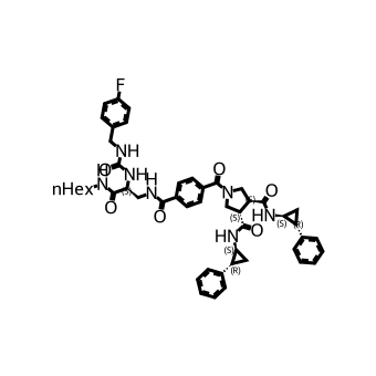 CCCCCCNC(=O)[C@H](CNC(=O)c1ccc(C(=O)N2C[C@@H](C(=O)N[C@H]3C[C@@H]3c3ccccc3)[C@H](C(=O)N[C@H]3C[C@@H]3c3ccccc3)C2)cc1)NC(=O)NCc1ccc(F)cc1